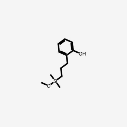 CO[Si](C)(C)CCCc1ccccc1O